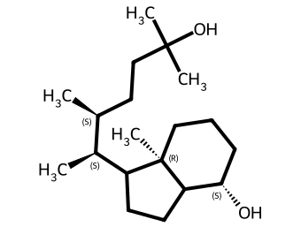 C[C@H](C1CCC2[C@@H](O)CCC[C@]12C)[C@@H](C)CCC(C)(C)O